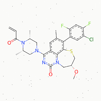 C=CC(=O)N1[C@H](C)CN(c2nc(=O)n3c4c(c(-c5cc(Cl)c(F)cc5F)c(C)cc24)SC[C@H](OC)C3)C[C@@H]1C